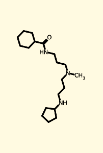 CN(CCCNC(=O)C1CCCCC1)CCCNC1CCCC1